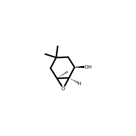 CC1(C)C[C@@H](O)[C@H]2O[C@@]2(C)C1